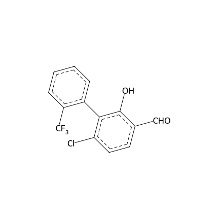 O=Cc1ccc(Cl)c(-c2ccccc2C(F)(F)F)c1O